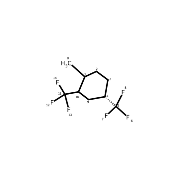 CC1CC[C@H](C(F)(F)F)CC1C(F)(F)F